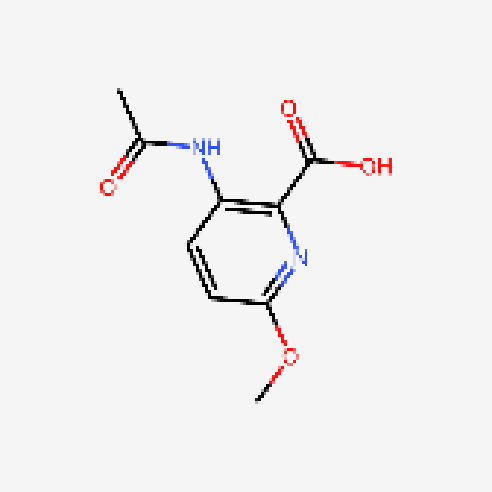 COc1ccc(NC(C)=O)c(C(=O)O)n1